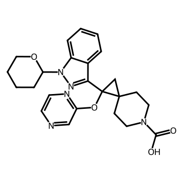 O=C(O)N1CCC2(CC1)CC2(Oc1cnccn1)c1nn(C2CCCCO2)c2ccccc12